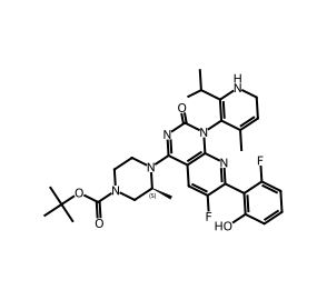 CC1=CCNC(C(C)C)=C1n1c(=O)nc(N2CCN(C(=O)OC(C)(C)C)C[C@@H]2C)c2cc(F)c(-c3c(O)cccc3F)nc21